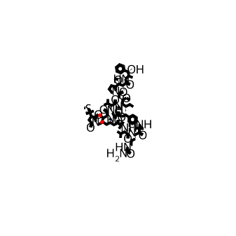 CC[C@H](C)C([C@@H](CC(=O)N1CCCC1[C@H](OC)[C@@H](C)C(=O)NC(C)[C@@H](O)c1ccccc1)OC)N(C)C(=O)[C@@H](NC(=O)C(C(C)C)N(C)C(C)(C)C(=O)OCc1ccc(NC(C)(C)C(=O)[C@H](CCCNC(N)=O)NC(=O)[C@@H](NC(C)(C)C(=O)CCCCCN2C(=O)CC(C(C)(C)SC)C2=O)C(C)C)cc1)C(C)C